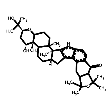 CC1(C)OC(C)(C)C2C(=O)c3ccc4[nH]c5c(c4c3CC21)C[C@@H]1CCC2[C@@]3(C)C(CC[C@]2(C)[C@@]51C)O[C@H](C(C)(C)O)C[C@H]3O